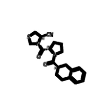 N#C[C@@H]1CSCN1C(=O)[C@@H]1CCCN1C(=O)[C@@H]1CCc2ccccc2C1